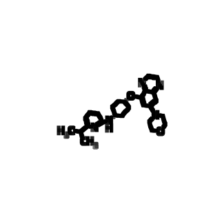 CC(C)c1cccc(N[C@H]2CC[C@@H](Oc3cc(N4CCOCC4)cc4nccnc34)CC2)n1